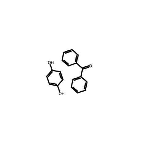 O=C(c1ccccc1)c1ccccc1.Oc1ccc(O)cc1